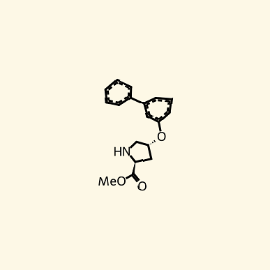 COC(=O)[C@@H]1C[C@@H](Oc2cccc(-c3ccccc3)c2)CN1